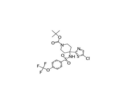 CC(C)(C)OC(=O)N1CCC(NS(=O)(=O)c2ccc(OC(F)(F)F)cc2)(c2ncc(Cl)s2)CC1